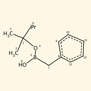 CC(C)C(C)(C)OB(O)Cc1ccccc1